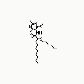 CCCCCCCCC(SCCCCCC)C(=O)Nc1c(SC)nc(C)nc1SC